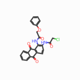 O=C(CCl)Nc1ccc2c(c1NC(=O)COc1ccccc1)C(=O)c1ccccc1C2=O